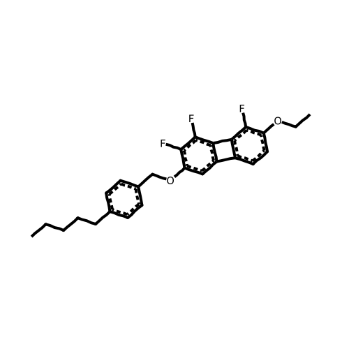 CCCCCc1ccc(COc2cc3c(c(F)c2F)-c2c-3ccc(OCC)c2F)cc1